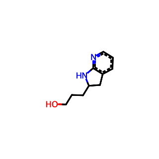 OCCCC1Cc2cccnc2N1